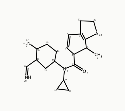 CC1C2=C(C=CC1C(=O)N(C1CC1)C1CCC(N)C(C=N)C1)CCS2